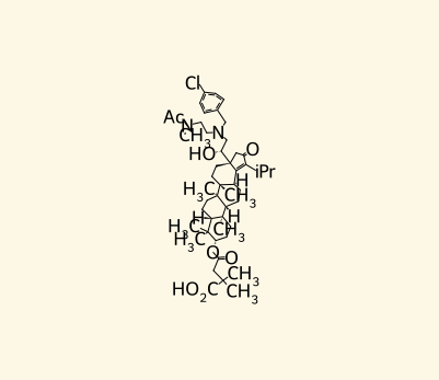 CC(=O)N(C)CCN(Cc1ccc(Cl)cc1)C[C@@H](O)[C@@]12CC[C@]3(C)[C@H](CC[C@@H]4[C@@]5(C)CC[C@H](OC(=O)CC(C)(C)C(=O)O)C(C)(C)[C@@H]5CC[C@]43C)C1=C(C(C)C)C(=O)C2